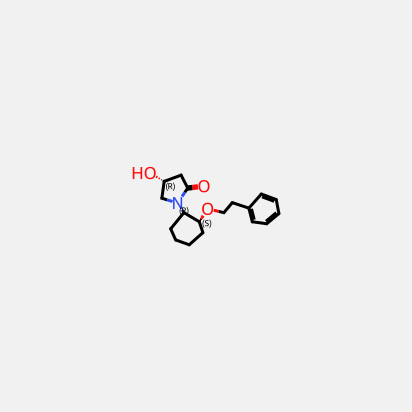 O=C1C[C@@H](O)CN1[C@@H]1CCCC[C@@H]1OCCc1ccccc1